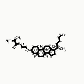 C=C(C)C(=O)NCCO[C@H]1CC[C@@]2(C)[C@@H](CC[C@@H]3[C@@H]2CC[C@]2(C)C([C@H](C)CCCC(C)C)CC[C@@H]32)C1